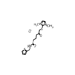 Cn1cc[n+](C)c1SCC(=O)CCCC(=O)NCc1cccs1.[Cl-]